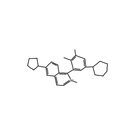 Cc1cc(C2CCCCC2)cc(-c2c3ccc(C4CCCC4)cc3cc[n+]2C)c1C